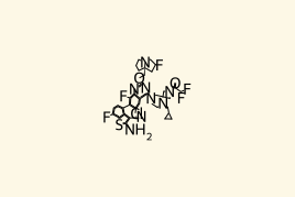 N#Cc1c(N)sc2c(F)ccc(-c3c(Cl)cc4c(N5CCN(CC6CC6)C6(CN(C(=O)C(F)F)C6)C5)nc(OC[C@@]56CCCN5C[C@H](F)C6)nc4c3F)c12